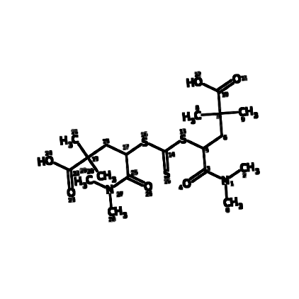 CN(C)C(=O)C(CC(C)(C)C(=O)O)SC(=S)SC(CC(C)(C)C(=O)O)C(=O)N(C)C